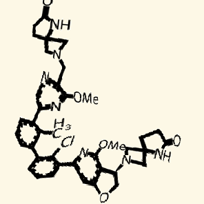 COc1nc(-c2cccc(-c3cccc(-c4cc5c(c(OC)n4)[C@@H](N4CC6(CCC(=O)N6)C4)CO5)c3Cl)c2C)cnc1CN1CC2(CCC(=O)N2)C1